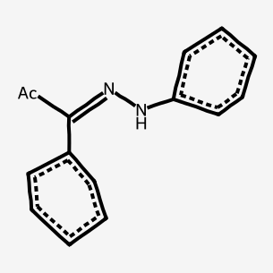 CC(=O)C(=NNc1ccccc1)c1ccccc1